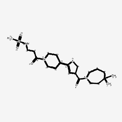 CC1(C)CCCN(C(=O)C2C=C(C3CCN(C(=O)CCNS(C)(=O)=O)CC3)SC2)CC1